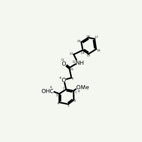 COc1cccc(C=O)c1OCC(=O)NCc1ccccc1